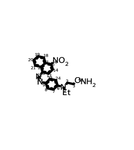 CCN(CCON)c1ccc(/N=N\c2ccc([N+](=O)[O-])c3ccccc23)cc1